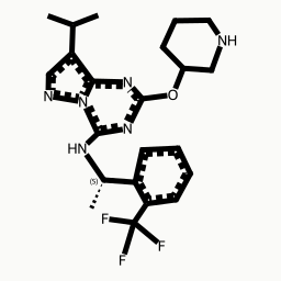 CC(C)c1cnn2c(N[C@@H](C)c3ccccc3C(F)(F)F)nc(OC3CCCNC3)nc12